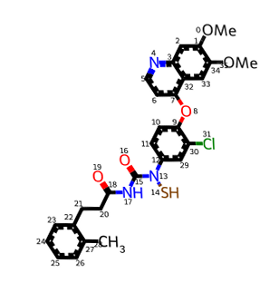 COc1cc2nccc(Oc3ccc(N(S)C(=O)NC(=O)CCc4ccccc4C)cc3Cl)c2cc1OC